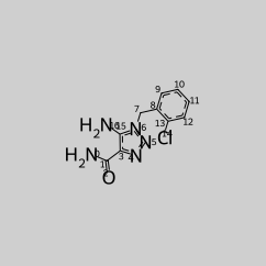 NC(=O)c1nnn(Cc2ccccc2Cl)c1N